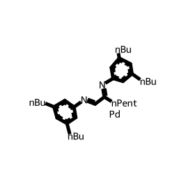 CCCCCC(C=Nc1cc(CCCC)cc(CCCC)c1)=Nc1cc(CCCC)cc(CCCC)c1.[Pd]